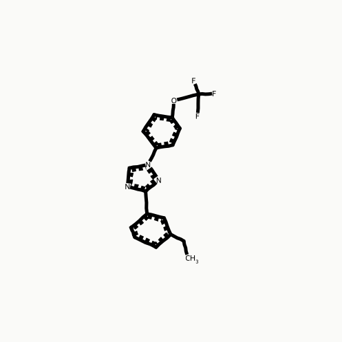 CCc1cccc(-c2ncn(-c3ccc(OC(F)(F)F)cc3)n2)c1